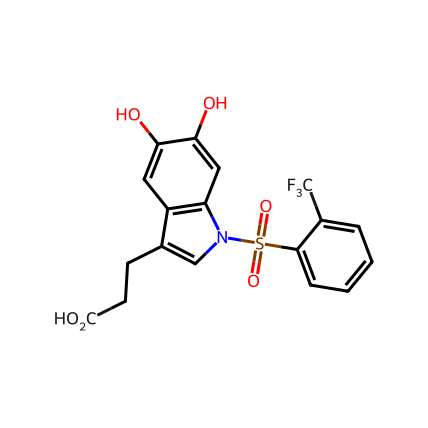 O=C(O)CCc1cn(S(=O)(=O)c2ccccc2C(F)(F)F)c2cc(O)c(O)cc12